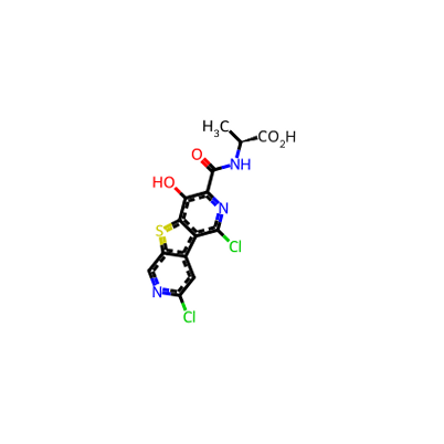 C[C@H](NC(=O)c1nc(Cl)c2c(sc3cnc(Cl)cc32)c1O)C(=O)O